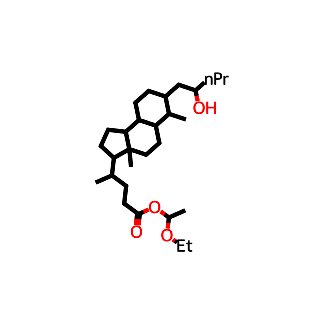 CCCC(O)CC1CCC2C(CCC3(C)C(C(C)CCC(=O)OC(C)OCC)CCC23)C1C